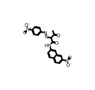 CC(=O)C(N=Nc1ccc([N+](=O)[O-])cc1)C(=O)Nc1ccc2ccc([N+](=O)[O-])cc2c1